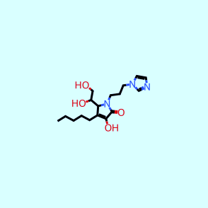 CCCCCC1=C(O)C(=O)N(CCCn2ccnc2)C1C(O)CO